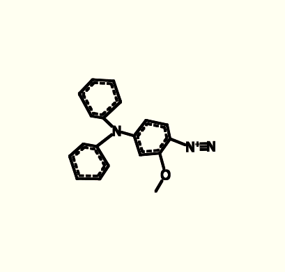 COc1cc(N(c2ccccc2)c2ccccc2)ccc1[N+]#N